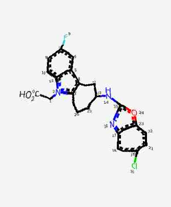 O=C(O)Cn1c2c(c3cc(F)ccc31)CC(Nc1nc3cc(Cl)ccc3o1)CC2